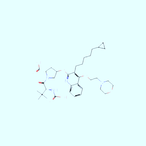 CC(C)(C)[C@H](NC(=O)O)C(=O)N1CC(Oc2nc3ccccc3c(OCCN3CCOCC3)c2CCCCCC2CC2)C[C@H]1C(=O)O